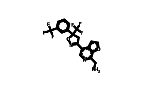 NCc1ncc(C2=NOC(c3cccc(C(F)(F)F)c3)(C(F)(F)F)C2)c2ccoc12